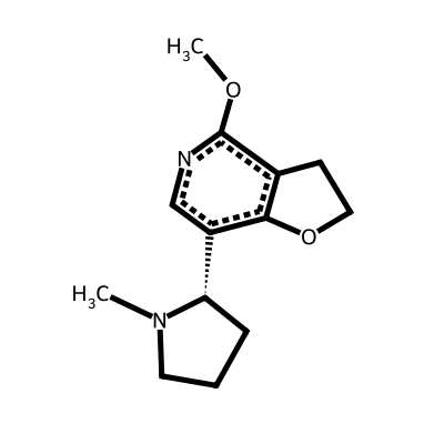 COc1ncc([C@@H]2CCCN2C)c2c1CCO2